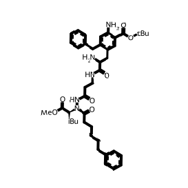 CC[C@H](C)[C@@H](C(=O)OC)N(NC(=O)CCNC(=O)C(N)Cc1cc(C(=O)OC(C)(C)C)c(N)cc1Cc1ccccc1)C(=O)CCCCCc1ccccc1